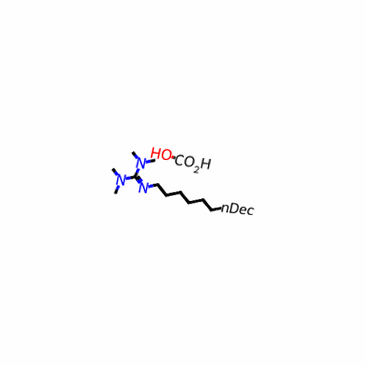 CCCCCCCCCCCCCCCCN=C(N(C)C)N(C)C.O=C(O)O